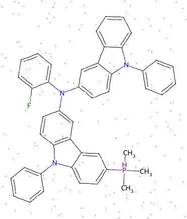 C[PH](C)(C)c1ccc2c(c1)c1cc(N(c3ccc4c(c3)c3ccccc3n4-c3ccccc3)c3ccccc3F)ccc1n2-c1ccccc1